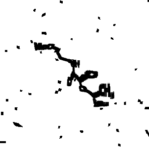 COCCNC(=O)C(=O)O[C@H](C)C(C)(C)C